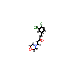 O=C(/C=C/c1ccc(Cl)c(Cl)c1)CCN1CCOCC1